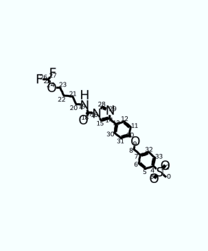 CS(=O)(=O)c1ccc(COc2ccc(-c3cn(C(=O)NCCCCOC(F)F)cn3)cc2)cc1